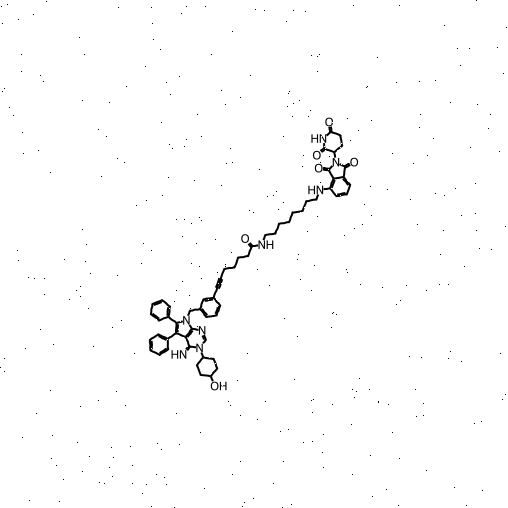 N=c1c2c(-c3ccccc3)c(-c3ccccc3)n(Cc3cccc(C#CCCCCC(=O)NCCCCCCCCNc4cccc5c4C(=O)N(C4CCC(=O)NC4=O)C5=O)c3)c2ncn1C1CCC(O)CC1